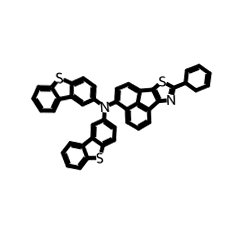 C1=CCC(c2nc3c(s2)-c2ccc(N(c4ccc5sc6ccccc6c5c4)c4ccc5sc6ccccc6c5c4)c4cccc-3c24)C=C1